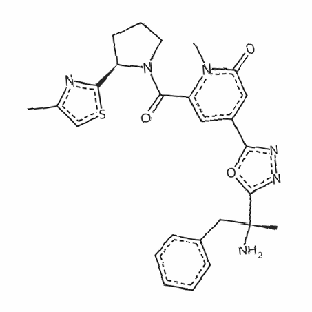 Cc1csc([C@H]2CCCN2C(=O)c2cc(-c3nnc([C@](C)(N)Cc4ccccc4)o3)cc(=O)n2C)n1